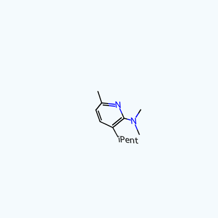 CCCC(C)c1ccc(C)nc1N(C)C